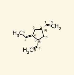 C=C[C@H]1CC(=CC)[C@@H](C=C)C1